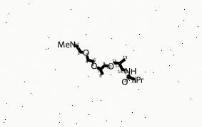 CNCCOCCOC(C)COCC(C)CNC(=O)C(C)C